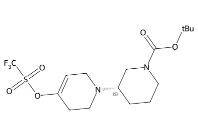 CC(C)(C)OC(=O)N1CCC[C@H](N2CC=C(OS(=O)(=O)C(F)(F)F)CC2)C1